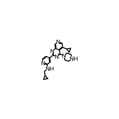 c1cc(-c2nc(N3CCNCC3)c3c(C4CC4)cncc3n2)cc(NCC2CC2)n1